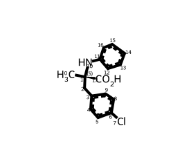 C[C@@](Cc1ccc(Cl)cc1)(Nc1ccccc1)C(=O)O